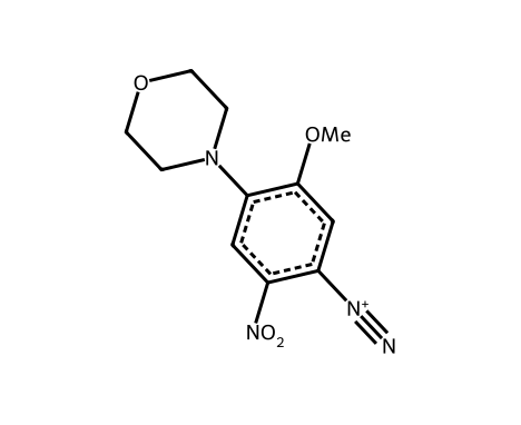 COc1cc([N+]#N)c([N+](=O)[O-])cc1N1CCOCC1